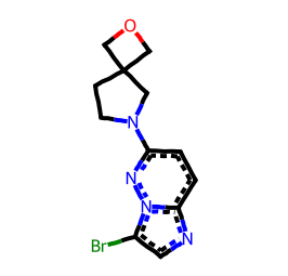 Brc1cnc2ccc(N3CCC4(COC4)C3)nn12